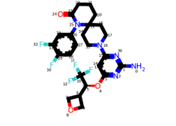 Nc1nc(O[C@@H](C2COC2)C(F)(F)F)cc(N2CCC3(CCCC(=O)N3c3ccc(F)c(F)c3)CC2)n1